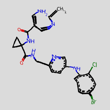 C=C/N=C\C(=C/N)C(=O)NC1(C(=O)NCc2ccc(Nc3ccc(Br)cc3Cl)cn2)CC1